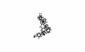 CN([C@H]1CCC2=Cc3c(cnn3-c3ccc(F)cc3)C[C@]2(C(=O)c2ccccn2)C1)S(=O)(=O)c1cnn(C)c1